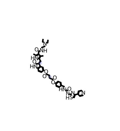 CCN(CC)CCNC(=O)c1c(C)[nH]c(/C=C2\C(=O)Nc3ccc(OC(=O)/C=C/C(=O)Oc4ccc(CNC(=O)Nc5nc(-c6ccncc6)cs5)cc4)cc32)c1C